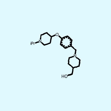 CC(C)N1CCC(Oc2ccc(CN3CCC(CO)CC3)cc2)CC1